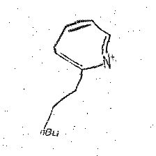 CCCCCCC1=CC=CC=[N+]1